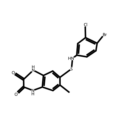 Cc1cc2[nH]c(=O)c(=O)[nH]c2cc1SNc1ccc(Br)c(Cl)c1